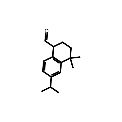 CC(C)c1ccc2c(c1)C(C)(C)CCC2C=O